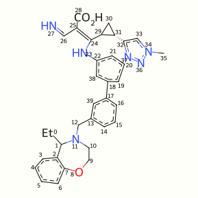 CCC1c2ccccc2OCCN1Cc1cccc(-c2cccc(N/C(=C(\C=N)C(=O)O)C3C[C@@H]3c3cn(C)nn3)c2)c1